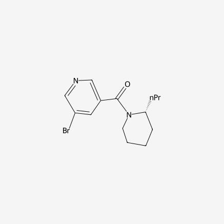 CCC[C@@H]1CCCCN1C(=O)c1cncc(Br)c1